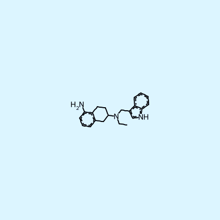 CCN(Cc1c[nH]c2ccccc12)C1CCc2c(N)cccc2C1